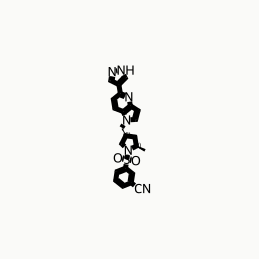 C[C@@H]1C[C@@H](Cn2ccc3nc(-c4cn[nH]c4)ccc32)CN1S(=O)(=O)c1cccc(C#N)c1